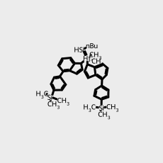 CCCC[SiH]=[Hf]([CH3])([CH3])([CH]1C=Cc2c(-c3ccc([Si](C)(C)C)cc3)cccc21)[CH]1C=Cc2c(-c3ccc([Si](C)(C)C)cc3)cccc21